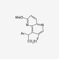 CCOC(=O)C(C(C)=O)c1c(F)cnc2ccc(OC)nc12